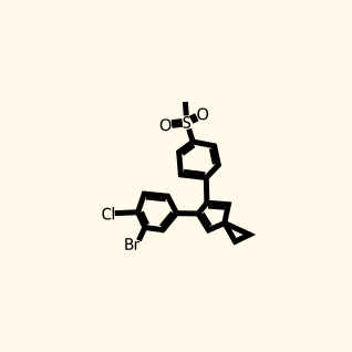 CS(=O)(=O)c1ccc(C2=CC3(C=C2c2ccc(Cl)c(Br)c2)CC3)cc1